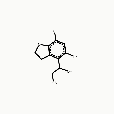 CCCc1cc(Cl)c2c(c1C(O)CC#N)CCO2